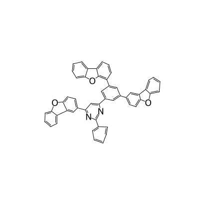 c1ccc(-c2nc(-c3cc(-c4ccc5oc6ccccc6c5c4)cc(-c4cccc5c4oc4ccccc45)c3)cc(-c3ccc4oc5ccccc5c4c3)n2)cc1